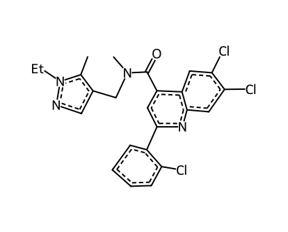 CCn1ncc(CN(C)C(=O)c2cc(-c3ccccc3Cl)nc3cc(Cl)c(Cl)cc23)c1C